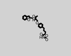 Cc1oc(-c2cc3ccccc3o2)nc1COc1ccc(CCCC2OC(=O)NC2=O)cc1